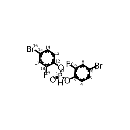 O=[PH](Oc1ccc(Br)cc1F)Oc1ccc(Br)cc1F